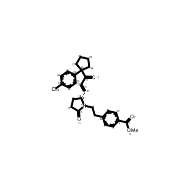 COC(=O)c1ccc(CCN2C(=O)CC[C@@H]2/C=C/C(=O)C2(c3ccc(Cl)cc3)CCCC2)cc1